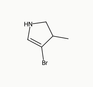 CC1CNC=C1Br